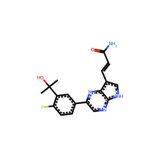 CC(C)(O)c1cc(-c2cnc3[nH]cc(C=CC(N)=O)c3n2)ccc1F